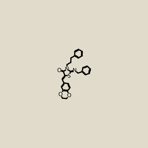 O=C1/C(=C/c2ccc3c(c2)OCCO3)S/C(=N\Cc2ccccc2)N1CCCc1ccccc1